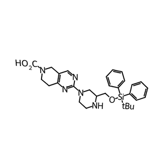 CC(C)(C)[Si](OCC1CN(c2ncc3c(n2)CCN(C(=O)O)C3)CCN1)(c1ccccc1)c1ccccc1